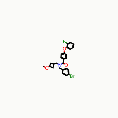 COC1CC(CN(Cc2ccc(Br)cc2)C(=O)c2ccc(Oc3ccccc3F)cc2)C1